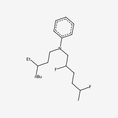 CCCCC(CC)CCN(CC(F)CCC(C)F)c1ccccc1